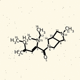 C=C(/C=C(/C(=O)N1CC2CN(C)CC2C1)N(C)CC)OC